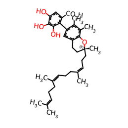 CC(C)=CCCC(C)=CCCC(C)=CCC[C@]1(C)CCc2cc(-c3c(C(=O)O)cc(O)c(O)c3O)c(C)c(C)c2O1